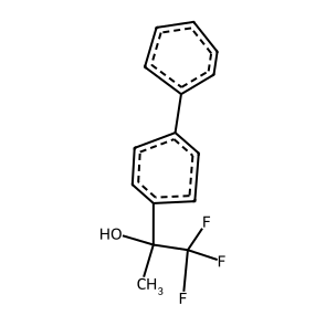 CC(O)(c1ccc(-c2ccccc2)cc1)C(F)(F)F